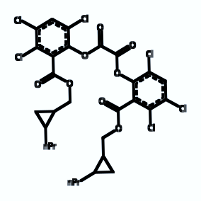 CCCC1CC1COC(=O)c1c(Cl)c(Cl)cc(Cl)c1OC(=O)C(=O)Oc1c(Cl)cc(Cl)c(Cl)c1C(=O)OCC1CC1CCC